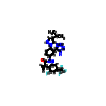 CC(C)c1cnn(-c2ccc(NC(=O)C3(c4ccc(C(F)(F)F)cc4F)CC3)cc2-c2nnn[nH]2)c1